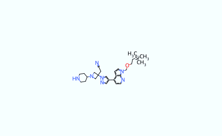 C[Si](C)(C)CCOCn1ccc2c(-c3cnn(C4(CC#N)CN(C5CCNCC5)C4)c3)ccnc21